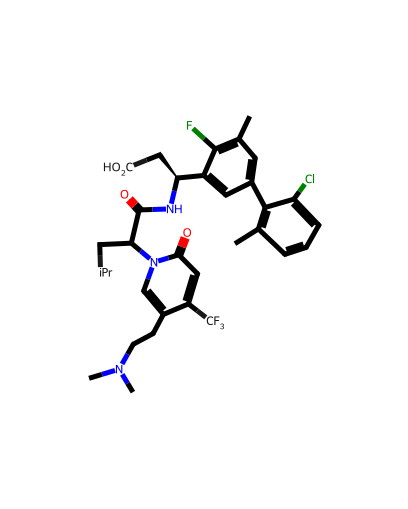 Cc1cc(-c2c(C)cccc2Cl)cc([C@H](CC(=O)O)NC(=O)C(CC(C)C)n2cc(CCN(C)C)c(C(F)(F)F)cc2=O)c1F